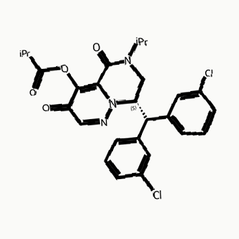 CC(C)C(=O)Oc1c2n(ncc1=O)[C@@H](C(c1cccc(Cl)c1)c1cccc(Cl)c1)CN(C(C)C)C2=O